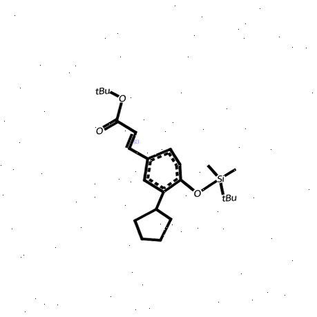 CC(C)(C)OC(=O)/C=C/c1ccc(O[Si](C)(C)C(C)(C)C)c(C2CCCC2)c1